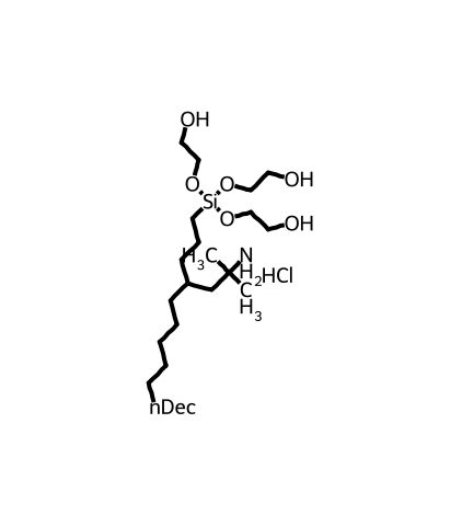 CCCCCCCCCCCCCCCC(CCC[Si](OCCO)(OCCO)OCCO)CC(C)(C)N.Cl